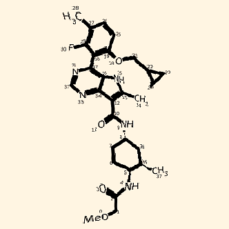 COCC(=O)N[C@H]1CC[C@H](NC(=O)c2c(C)[nH]c3c(-c4c(OCC5CC5)ccc(C)c4F)ncnc23)C[C@H]1C